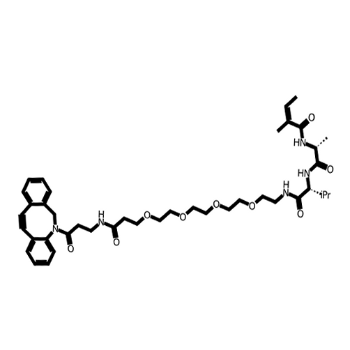 C/C=C(/C)C(=O)N[C@H](C)C(=O)N[C@@H](C(=O)NCCOCCOCCOCCOCCC(=O)NCCC(=O)N1Cc2ccccc2C#Cc2ccccc21)C(C)C